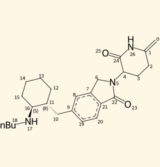 C=C1CCC(N2Cc3cc(C[C@H]4CCCC[C@@H]4NCCCC)ccc3C2=O)C(=O)N1